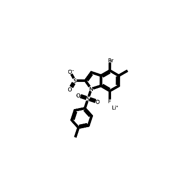 Cc1ccc(S(=O)(=O)n2c(S(=O)[O-])cc3c(Br)c(C)cc(F)c32)cc1.[Li+]